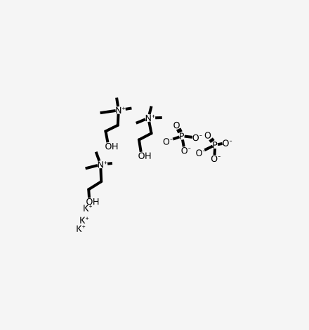 C[N+](C)(C)CCO.C[N+](C)(C)CCO.C[N+](C)(C)CCO.O=P([O-])([O-])[O-].O=P([O-])([O-])[O-].[K+].[K+].[K+]